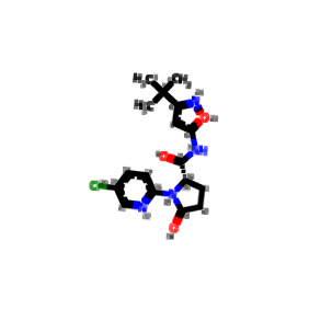 CC(C)(C)c1cc(NC(=O)[C@@H]2CCC(=O)N2c2ccc(Cl)cn2)on1